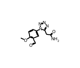 COc1ccc(-n2nnnc2CC(N)=O)cc1C=O